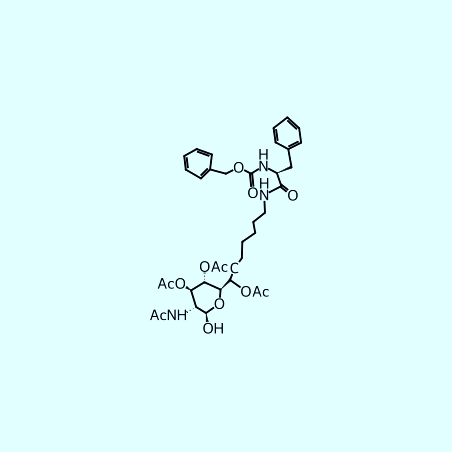 CC(=O)N[C@@H]1[C@@H](OC(C)=O)[C@H](OC(C)=O)[C@@H](C(CCCCCCNC(=O)[C@H](Cc2ccccc2)NC(=O)OCc2ccccc2)OC(C)=O)O[C@H]1O